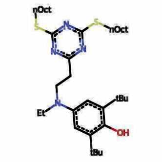 CCCCCCCCSc1nc(CCN(CC)c2cc(C(C)(C)C)c(O)c(C(C)(C)C)c2)nc(SCCCCCCCC)n1